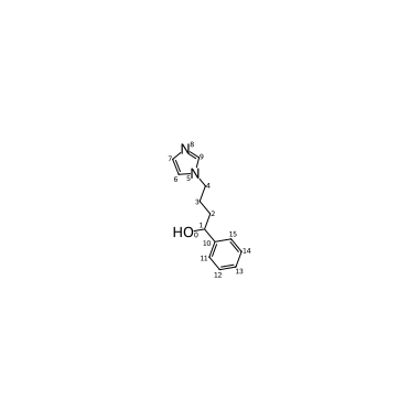 OC(CCCn1ccnc1)c1ccccc1